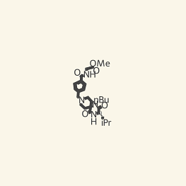 CCCCN1C(=O)[C@H](CC(C)C)NC(=O)C12CCN(Cc1ccc(C(=O)NCC(=O)OC)cc1)CC2